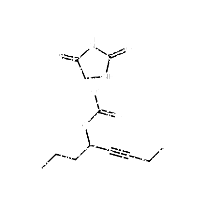 CCCC(C#CCI)OC(=O)O.O=C1CNC(=O)N1